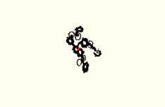 O=C(Oc1cccc(-c2ccc3cc(OC(=O)c4ccccc4)ccc3c2Cc2ccc(OCCN3CCCCC3)cc2)c1)c1ccccc1